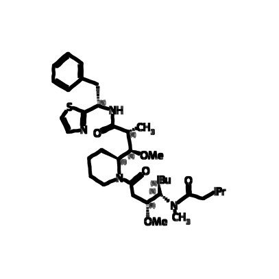 CC[C@H](C)[C@@H]([C@@H](CC(=O)N1CCCC[C@H]1[C@H](OC)[C@@H](C)C(=O)N[C@@H](Cc1ccccc1)c1nccs1)OC)N(C)C(=O)CC(C)C